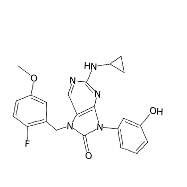 COc1ccc(F)c(Cn2c(=O)n(-c3cccc(O)c3)c3nc(NC4CC4)ncc32)c1